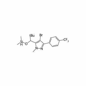 Cn1nc(-c2ccc(C(F)(F)F)cc2)c(Br)c1C(O[SiH](C)C)C(C)(C)C